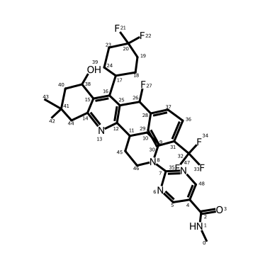 CNC(=O)c1cnc(N2CCC(c3nc4c(c(C5CCC(F)(F)CC5)c3C(F)c3ccc(C(F)(F)F)cc3)C(O)CC(C)(C)C4)CC2)nc1